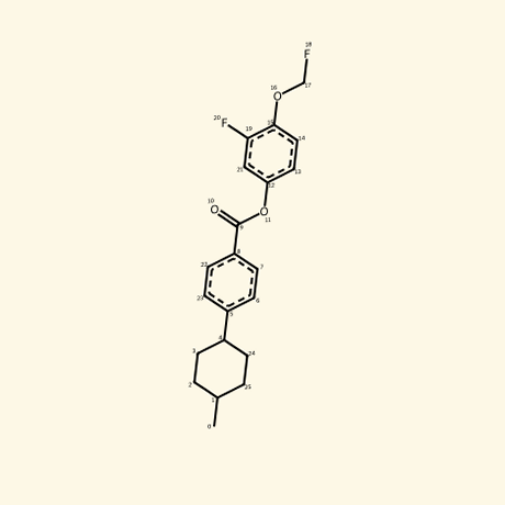 CC1CCC(c2ccc(C(=O)Oc3ccc(OCF)c(F)c3)cc2)CC1